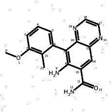 COc1cccc(-c2c(N)c(C(N)=O)cc3nccnc23)c1C